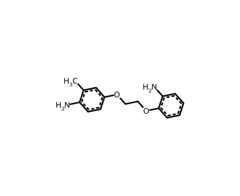 Cc1cc(OCCOc2ccccc2N)ccc1N